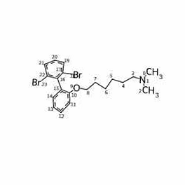 CN(C)CCCCCCOc1ccccc1-c1c(Br)cccc1Br